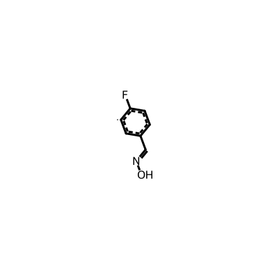 ON=Cc1c[c]c(F)cc1